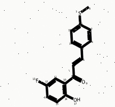 CSc1ccc(C=CC(=O)c2cc(F)ccc2O)cc1